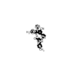 CN1CCC(F)(Cn2nc(Cl)cc2Nc2nccc(-c3cc(C#N)c4c(c3)[C@@](C)(CO[Si](C)(C)C(C)(C)C)CN4C(=O)OC(C)(C)C)n2)CC1